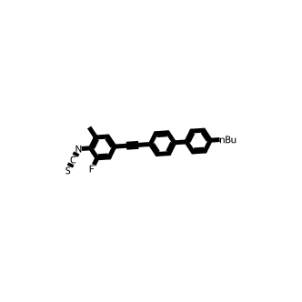 CCCCc1ccc(-c2ccc(C#Cc3cc(C)c(N=C=S)c(F)c3)cc2)cc1